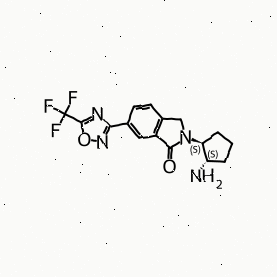 N[C@H]1CCC[C@@H]1N1Cc2ccc(-c3noc(C(F)(F)F)n3)cc2C1=O